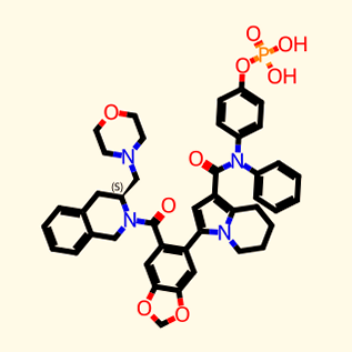 O=C(c1cc(-c2cc3c(cc2C(=O)N2Cc4ccccc4C[C@H]2CN2CCOCC2)OCO3)n2c1CCCC2)N(c1ccccc1)c1ccc(OP(=O)(O)O)cc1